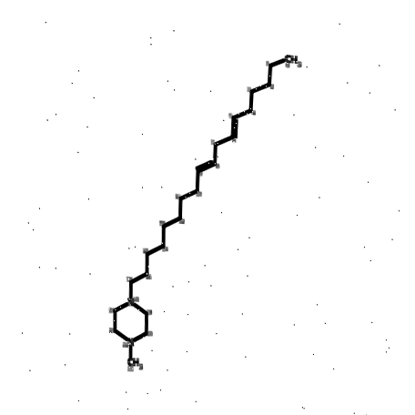 CCCCCC=CCC=CCCCCCCCCN1CCN(C)CC1